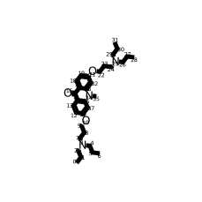 CCCN(CCC)CCCOc1ccc2c(=O)c3ccc(OCCCN(CCC)CCC)cc3n(C)c2c1